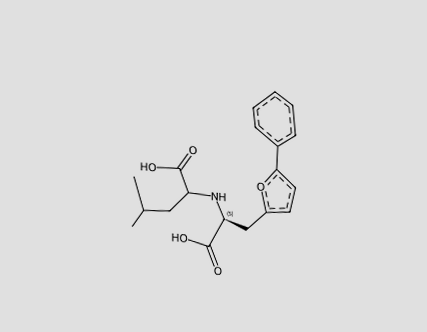 CC(C)CC(N[C@@H](Cc1ccc(-c2ccccc2)o1)C(=O)O)C(=O)O